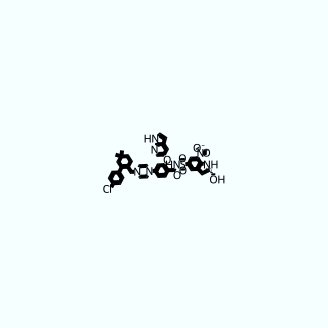 CC1(C)CCC(CN2CCN(c3ccc(C(=O)NS(=O)(=O)c4cc5c(c([N+](=O)[O-])c4)N[C@H](CO)C5)c(Oc4cnc5[nH]ccc5c4)c3)CC2)=C(c2ccc(Cl)cc2)C1